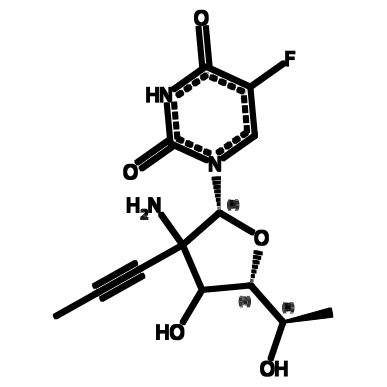 CC#CC1(N)C(O)[C@@H]([C@@H](C)O)O[C@H]1n1cc(F)c(=O)[nH]c1=O